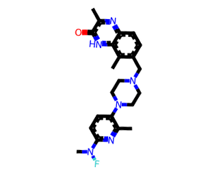 Cc1nc(N(C)F)ccc1N1CCN(Cc2ccc3nc(C)c(=O)[nH]c3c2C)CC1